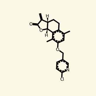 C=C1C(=O)O[C@H]2c3c(C)c(OCc4ccc(Cl)nc4)cc(C)c3CC[C@@H]12